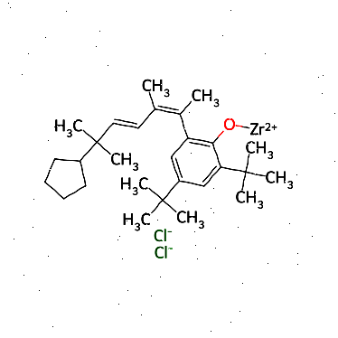 CC(C=CC(C)(C)C1CCCC1)=C(C)c1cc(C(C)(C)C)cc(C(C)(C)C)c1[O][Zr+2].[Cl-].[Cl-]